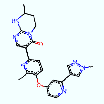 Cc1nc(-c2cnc3n(c2=O)CCC(C)N3)ccc1Oc1ccnc(-c2cnn(C)c2)c1